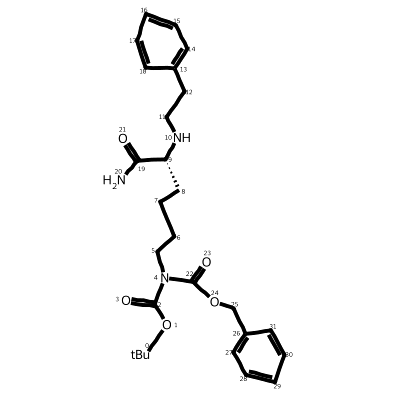 CC(C)(C)OC(=O)N(CCCC[C@@H](NCCc1ccccc1)C(N)=O)C(=O)OCc1ccccc1